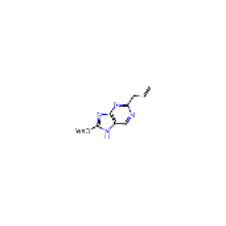 C=CCc1ncc2[nH]c(OC)nc2n1